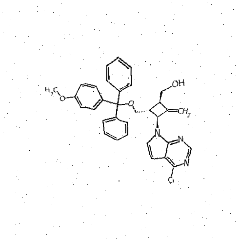 C=C1[C@@H](n2ccc3c(Cl)ncnc32)[C@H](COC(c2ccccc2)(c2ccccc2)c2ccc(OC)cc2)[C@H]1CO